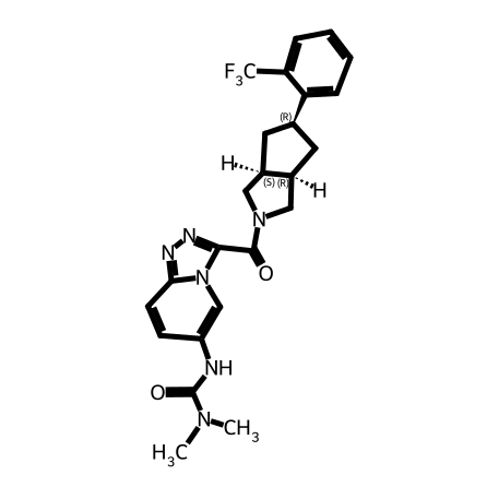 CN(C)C(=O)Nc1ccc2nnc(C(=O)N3C[C@H]4C[C@@H](c5ccccc5C(F)(F)F)C[C@H]4C3)n2c1